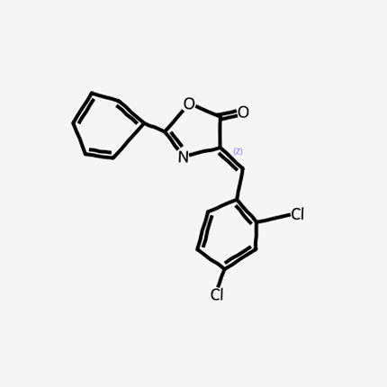 O=C1OC(c2ccccc2)=N/C1=C\c1ccc(Cl)cc1Cl